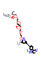 O=C(O)COCCOCCOCCOCCOc1ncc(-c2ccc3c(c2)[nH]c2ccncc23)cc1C(F)(F)F